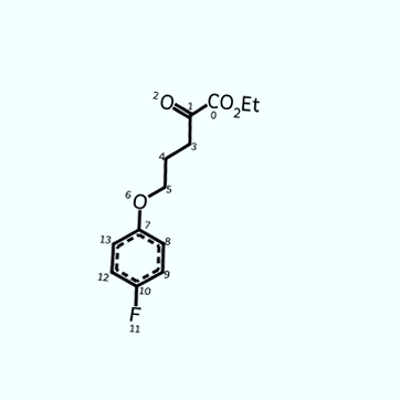 CCOC(=O)C(=O)CCCOc1ccc(F)cc1